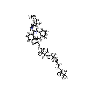 C=C(CCNC(=O)C(C)(C)OCC(C)(C)SSCCCC(=O)C(C)(C)C)N1Cc2ccccc2/C(C)=C(/N=N\CC(C)(C)CO)c2ccccc21